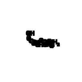 Nc1ccccc1NC(=O)c1ccc(OCCN(C=O)c2cc3cc(OCCO)ccc3o2)cc1